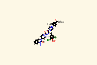 COC(=O)c1ccc(N2CCN(C(=O)[C@@H](Cc3cc(Br)c(O)c(Br)c3)NC(=O)N3CCC(N4Cc5ccccc5NC4=O)CC3)CC2)c(C(F)(F)F)c1